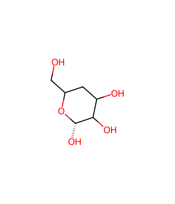 OCC1CC(O)C(O)[C@H](O)O1